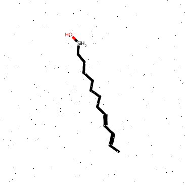 CC=CC=CCCCCCCC[SiH2]O